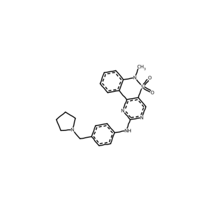 CN1c2ccccc2-c2nc(Nc3ccc(CN4CCCC4)cc3)ncc2S1(=O)=O